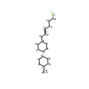 CCC1CCC([C@H]2CC[C@H](C/C=C/CCCF)CC2)CC1